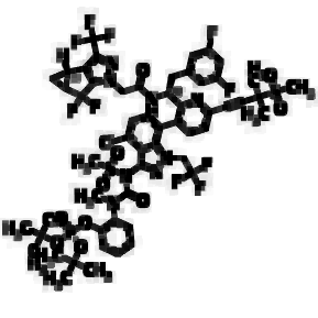 CN(C(=O)N(c1nn(CC(F)(F)F)c2c(-c3ccc(C#CC(C)(C)S(C)(=O)=O)nc3[C@H](Cc3cc(F)cc(F)c3)NC(=O)Cn3nc(C(F)(F)F)c4c3C(F)(F)C3C[C@H]43)ccc(Cl)c12)S(C)(=O)=O)c1ccccc1OP(=O)(OC(C)(C)C)OC(C)(C)C